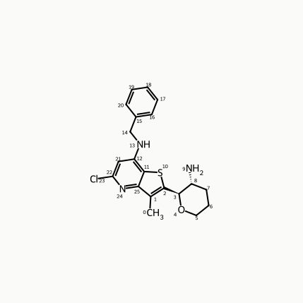 Cc1c([C@@H]2OCCC[C@H]2N)sc2c(NCc3ccccc3)cc(Cl)nc12